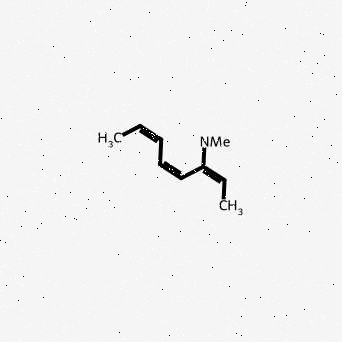 C\C=C/C=C\C(=C/C)NC